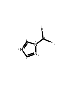 FC(F)n1[c]ncn1